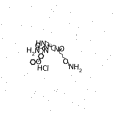 Cl.NCCOCCCCC(=O)N1CCC([C@@H]2CCNc3c(C(N)=O)c(-c4ccc(Oc5ccccc5)cc4)nn32)CC1